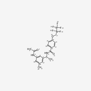 CC(=O)Nc1cc(C(C)NC(=O)c2ccc(OCC(F)(F)C(F)(F)F)cn2)cc(C)n1